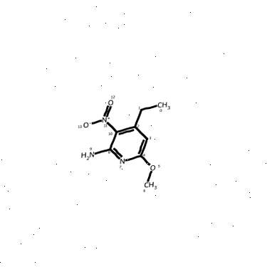 CCc1cc(OC)nc(N)c1[N+](=O)[O-]